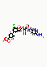 COC(=O)c1ccc(-c2cc(Cl)c3oc(CNC(=O)/C=C/c4ccc(N)nc4)cc3c2)cc1